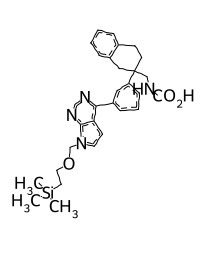 C[Si](C)(C)CCOCn1ccc2c(-c3cccc(C4(CNC(=O)O)CCc5ccccc5C4)c3)ncnc21